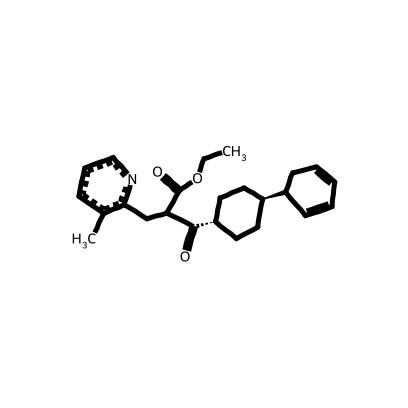 CCOC(=O)C(Cc1ncccc1C)C(=O)[C@H]1CC[C@H](C2C=CC=CC2)CC1